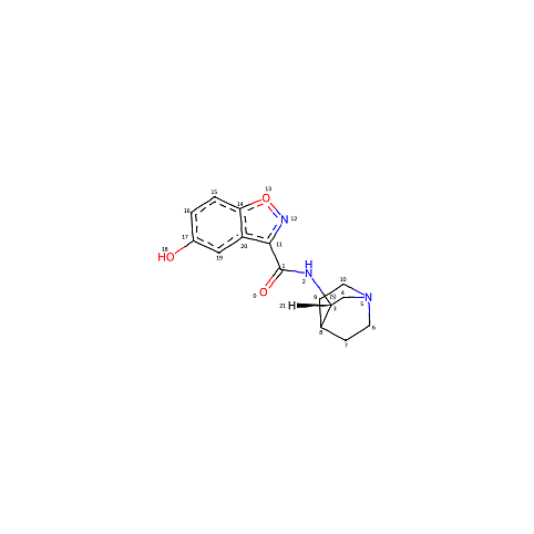 O=C(N[C@@H]1CN2CCC1CC2)c1noc2ccc(O)cc12